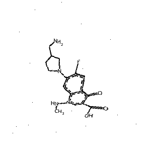 CNn1cc(C(=O)O)c(=O)c2cc(F)c(N3CCC(CN)C3)cc21